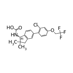 CC1(C)Cc2cc(-c3ccc(OCC(F)(F)F)cc3Cl)ccc2[C@@H]1NC(=O)O